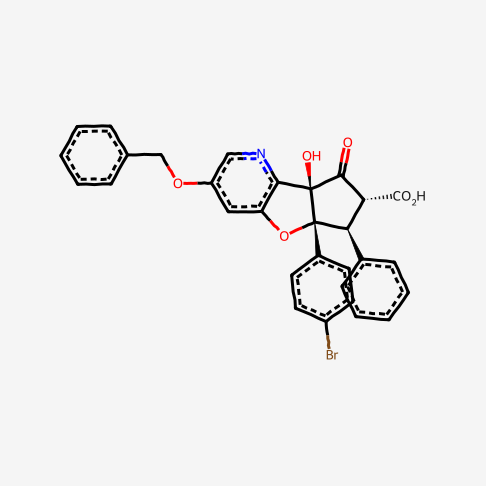 O=C(O)[C@H]1C(=O)[C@@]2(O)c3ncc(OCc4ccccc4)cc3O[C@@]2(c2ccc(Br)cc2)[C@@H]1c1ccccc1